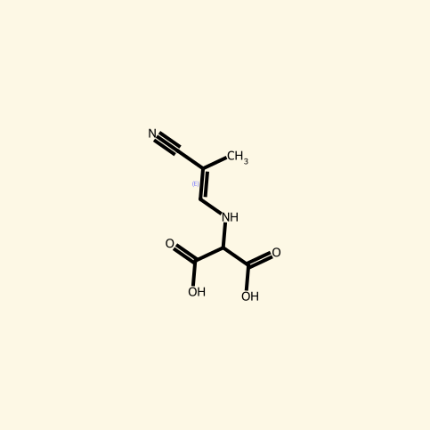 C/C(C#N)=C\NC(C(=O)O)C(=O)O